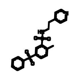 Cc1ccc(S(=O)(=O)c2ccccc2)cc1S(=O)(=O)NCCc1ccncc1